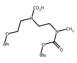 CCCOCCN(CCN(C)C(=O)OC(C)(C)C)C(=O)O